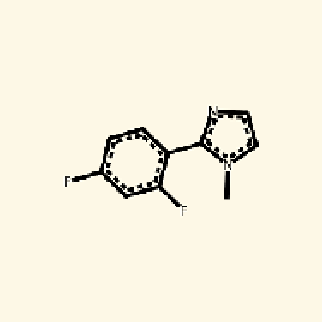 Cn1ccnc1-c1ccc(F)cc1F